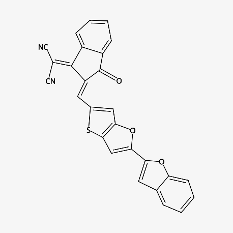 N#CC(C#N)=C1/C(=C/c2cc3oc(-c4cc5ccccc5o4)cc3s2)C(=O)c2ccccc21